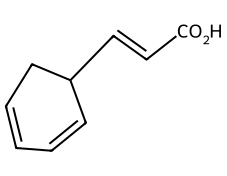 O=C(O)C=CC1C=CC=CC1